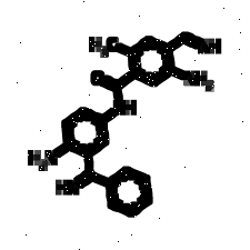 Cc1cc(C=N)c(N)cc1C(=O)Nc1ccc(N)c(C(=N)c2ccccc2)c1